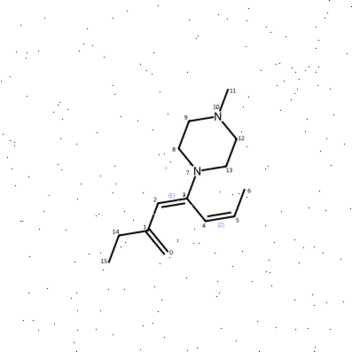 C=C(/C=C(\C=C/C)N1CCN(C)CC1)CC